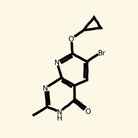 Cc1nc2nc(OC3CC3)c(Br)cc2c(=O)[nH]1